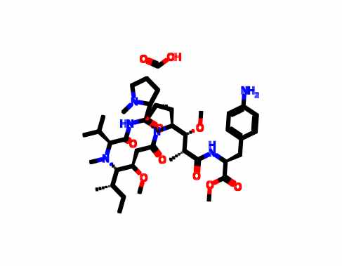 CC[C@H](C)[C@@H]([C@@H](CC(=O)N1CCC[C@H]1[C@H](OC)[C@@H](C)C(=O)N[C@@H](Cc1ccc(N)cc1)C(=O)OC)OC)N(C)[C@H](C(=O)NC(=O)[C@]1(C)CCCN1C)C(C)C.O=CO